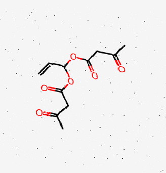 C=C[C](OC(=O)CC(C)=O)OC(=O)CC(C)=O